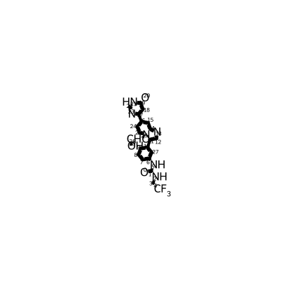 O=C(NCC(F)(F)F)Nc1cccc(-c2cnc3cc(-c4cc(=O)[nH]cn4)ccn23)c1.O=CO